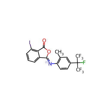 Cc1cc(C(F)(C(F)(F)F)C(F)(F)F)ccc1/N=C1\OC(=O)c2c(I)cccc21